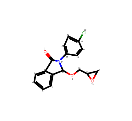 O=C1c2ccccc2C(OCC2CO2)N1c1ccc(Cl)cc1